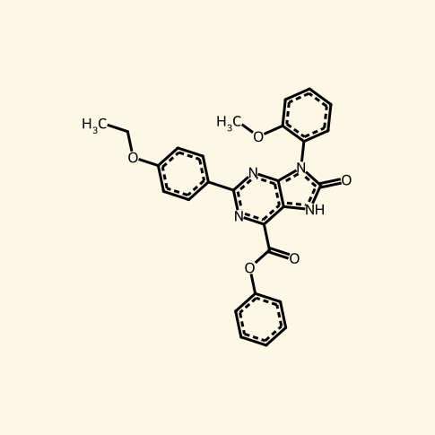 CCOc1ccc(-c2nc(C(=O)Oc3ccccc3)c3[nH]c(=O)n(-c4ccccc4OC)c3n2)cc1